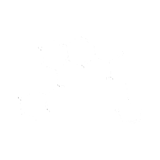 O=C(NCc1ccco1)c1ccc2cncc(Nc3cnccn3)c2n1